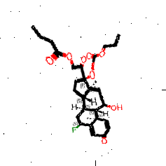 CCCOC(=O)O[C@]1(C(=O)COC(=O)CCC)CC[C@H]2[C@@H]3C[C@H](F)C4=CC(=O)C=C[C@]4(C)[C@H]3C(O)C[C@@]21C